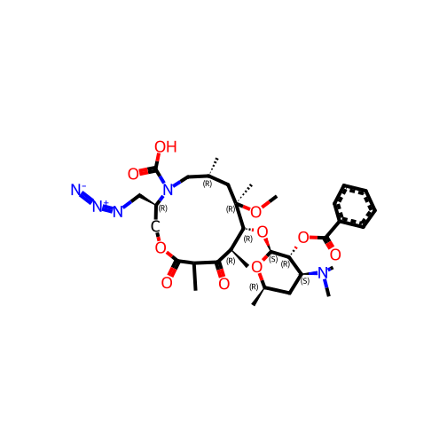 CO[C@]1(C)C[C@@H](C)CN(C(=O)O)[C@H](CN=[N+]=[N-])COC(=O)C(C)C(=O)[C@H](C)[C@H]1O[C@@H]1O[C@H](C)C[C@H](N(C)C)[C@H]1OC(=O)c1ccccc1